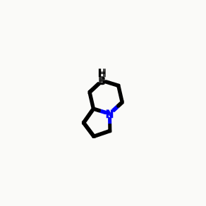 B1CCN2CCCC2C1